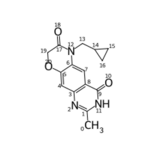 Cc1nc2cc3c(cc2c(=O)[nH]1)N(CC1CC1)C(=O)CO3